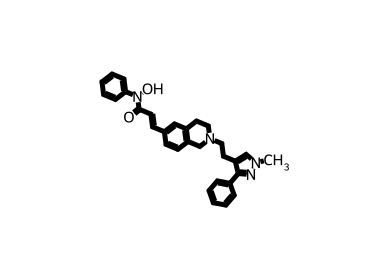 Cn1cc(CCN2CCc3cc(C=CC(=O)N(O)c4ccccc4)ccc3C2)c(-c2ccccc2)n1